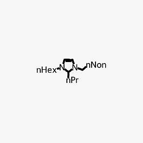 CCCCCCCCCCN1C=CN(CCCCCC)C1CCC